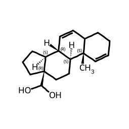 C[C@]12C=CCCC1C=C[C@H]1[C@@H]3CCC[C@@]3(C(O)O)CC[C@@H]12